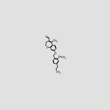 CCCc1ccc(COc2ccc3c(c2)OCCC(C=O)=C3C)c(OC)c1